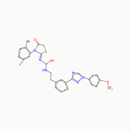 Cc1ccc(C(C)C)c(N2C(=O)CS/C2=N\C(O)NCCc2cccc(-c3ncn(-c4ccc(OC(F)(F)F)cc4)n3)c2)c1